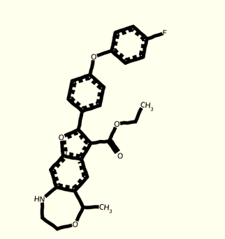 CCOC(=O)c1c(-c2ccc(Oc3ccc(F)cc3)cc2)oc2cc3c(cc12)C(C)OCCN3